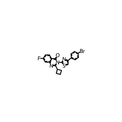 O=c1c2ccc(F)cc2nc(C2CCC2)n1-c1nc(-c2ccc(Br)cc2)cs1